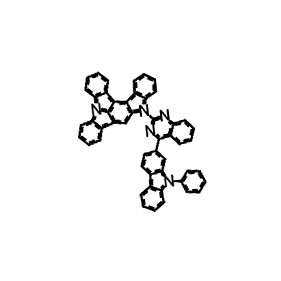 c1ccc(-n2c3ccccc3c3ccc(-c4nc(-n5c6ccccc6c6c7c8ccccc8n8c9ccccc9c(cc65)c78)nc5ccccc45)cc32)cc1